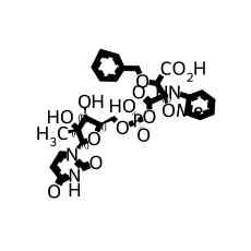 CO[C@@](Nc1ccccc1)(C(=O)OP(=O)(O)OC[C@H]1O[C@@H](n2ccc(=O)[nH]c2=O)[C@](C)(O)[C@@H]1O)C(OCc1ccccc1)C(=O)O